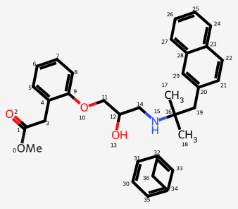 COC(=O)Cc1ccccc1OCC(O)CNC(C)(C)Cc1ccc2ccccc2c1.c1cc2cc(c1)C2